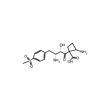 CS(=O)(=O)c1ccc(C[C@@H](N)[C@H](O)C(=O)C2(C(=O)O)CCC2N)cc1